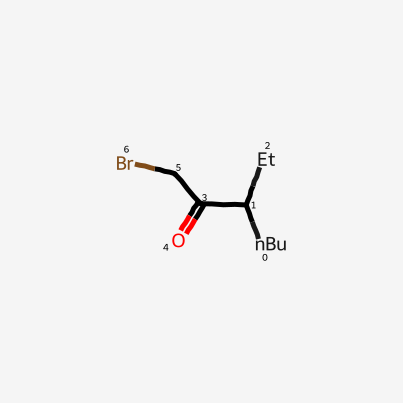 CCCCC(CC)C(=O)CBr